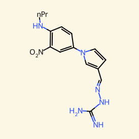 CCCNc1ccc(-n2ccc(C=NNC(=N)N)c2)cc1[N+](=O)[O-]